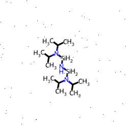 CC(C)N([SiH2]N[SiH2]N(C(C)C)C(C)C)C(C)C